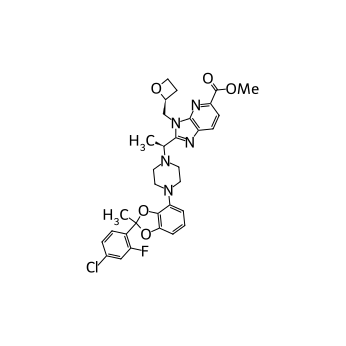 COC(=O)c1ccc2nc([C@H](C)N3CCN(c4cccc5c4OC(C)(c4ccc(Cl)cc4F)O5)CC3)n(C[C@@H]3CCO3)c2n1